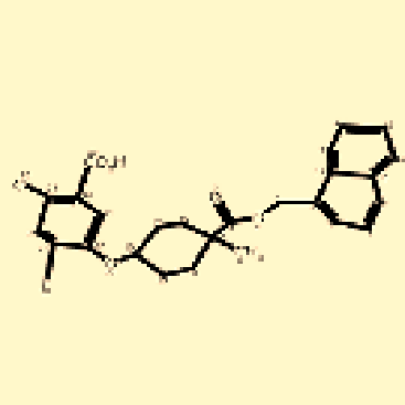 CC1(C(=O)OCc2cccc3ccccc23)CCC(Oc2cc(C(=O)O)c(Cl)cc2F)CC1